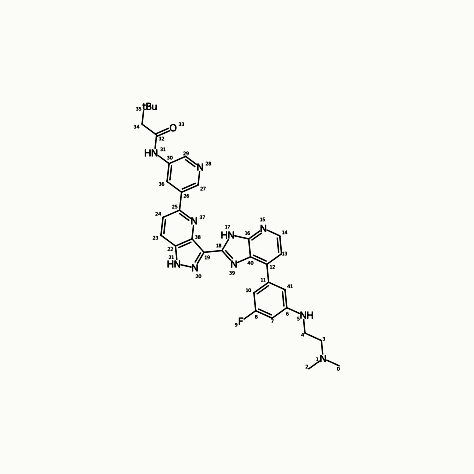 CN(C)CCNc1cc(F)cc(-c2ccnc3[nH]c(-c4n[nH]c5ccc(-c6cncc(NC(=O)CC(C)(C)C)c6)nc45)nc23)c1